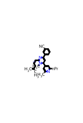 C=C(C)C/C=C\C1=NC(c2cccc(C#N)c2)=CC(c2cc(C)nc(CCC)c2)N1C